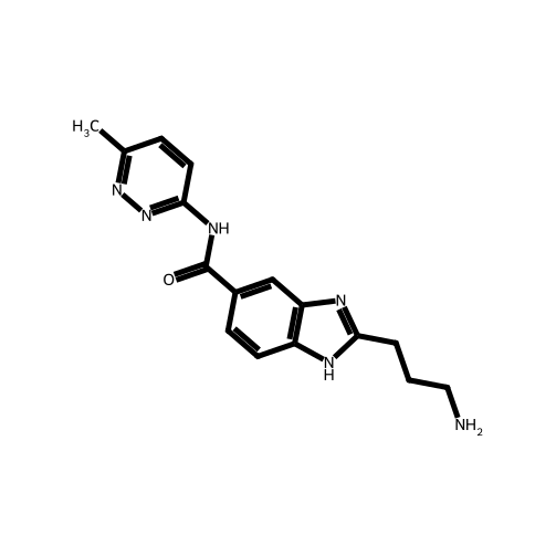 Cc1ccc(NC(=O)c2ccc3[nH]c(CCCN)nc3c2)nn1